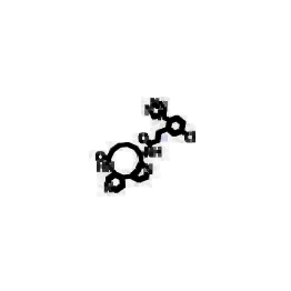 O=C(/C=C/c1cc(Cl)ccc1-n1cnnn1)N[C@H]1CCCCC(=O)Nc2cnccc2-c2ccnc1c2